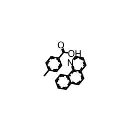 Cc1ccc(C(=O)O)cc1.c1ccc2c(c1)ccc1cccnc12